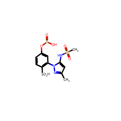 Cc1cc(NS(C)(=O)=O)n(-c2cc(OS(=O)O)ccc2S(=O)(=O)O)n1